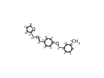 Cc1cccc(COc2ccc(C=NCc3ccco3)cc2)c1